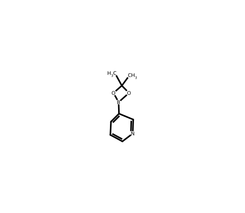 CC1(C)OB(c2cccnc2)O1